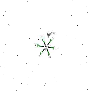 [F][Zr-2]([F])([F])([F])([F])[F].[Sn+2]